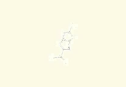 Cc1nc2sc(C(N)=O)cc2s1